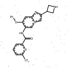 CC(C)Oc1cc2nc(C3CNC3)cn2cc1NC(=O)c1cccc(C(F)(F)F)n1